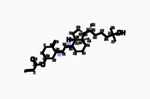 C=CC(=O)O[C@H]1CCC(=C)/C(=C\C=C2/CCC[C@]3(C)[C@@H]([C@H](C)CCCC(C)(C)O)CC[C@@H]23)C1